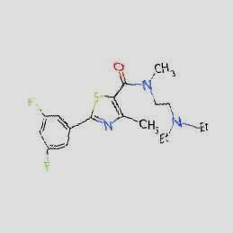 CCN(CC)CCN(C)C(=O)c1sc(-c2cc(F)cc(F)c2)nc1C